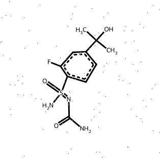 CC(C)(O)c1ccc(S(N)(=O)=NC(N)=O)c(F)c1